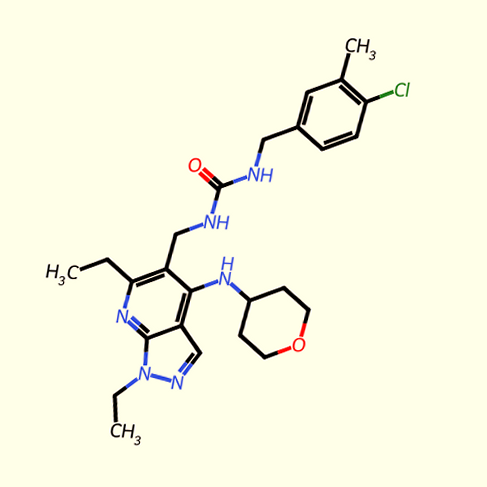 CCc1nc2c(cnn2CC)c(NC2CCOCC2)c1CNC(=O)NCc1ccc(Cl)c(C)c1